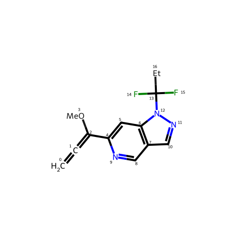 C=C=C(OC)c1cc2c(cn1)cnn2C(F)(F)CC